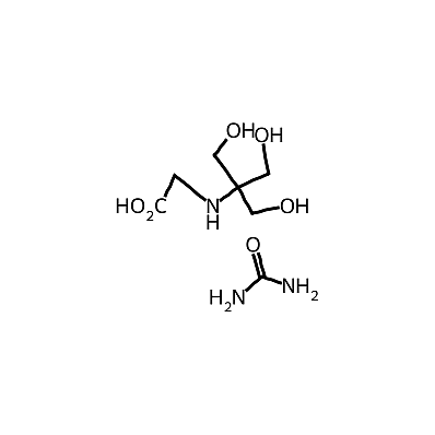 NC(N)=O.O=C(O)CNC(CO)(CO)CO